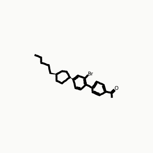 CCCCC[C@H]1CC[C@H](c2ccc(-c3ccc(C(C)=O)cc3)c(Br)c2)CC1